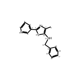 Cc1nc(-c2cccnc2)sc1NCc1ccccc1